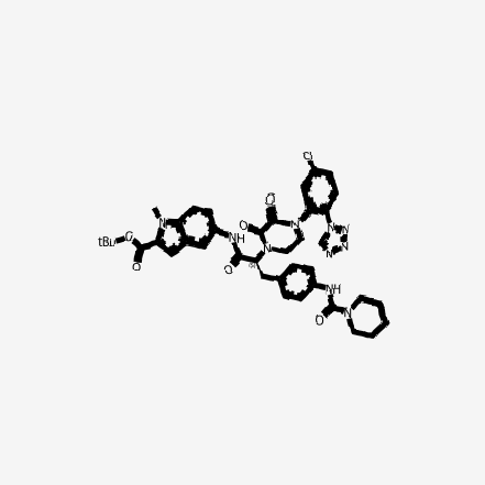 Cn1c(C(=O)OC(C)(C)C)cc2cc(NC(=O)[C@H](Cc3ccc(NC(=O)N4CCCCC4)cc3)N3CCN(c4cc(Cl)ccc4-n4cnnn4)C(=O)C3=O)ccc21